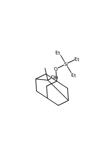 CC[Si](CC)(CC)OC12CC3CC(C1)C(C)(O)C(C3)C2